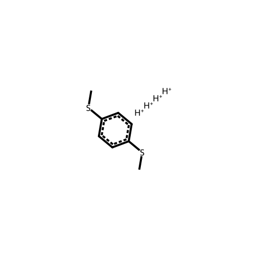 CSc1ccc(SC)cc1.[H+].[H+].[H+].[H+]